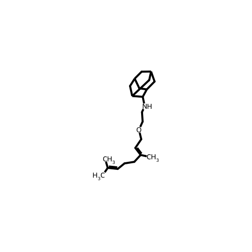 CC(C)=CCC/C(C)=C/COCCNC1C2CC3CC(C2)CC1C3